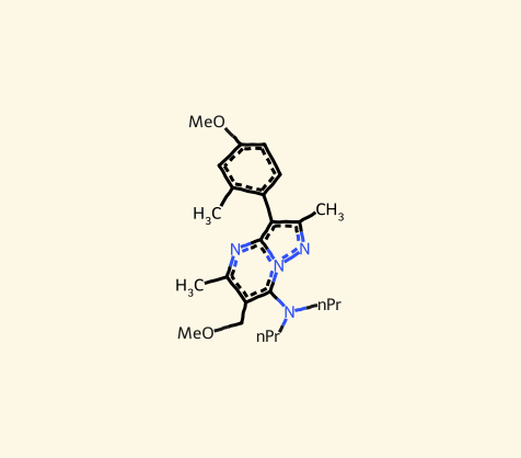 CCCN(CCC)c1c(COC)c(C)nc2c(-c3ccc(OC)cc3C)c(C)nn12